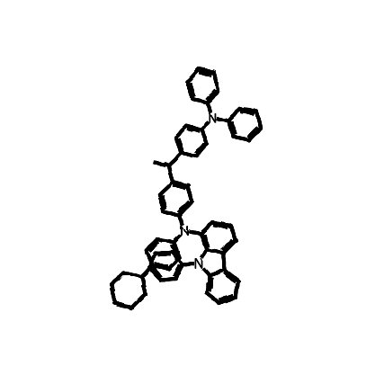 CC(c1ccc(N(c2ccccc2)c2ccccc2)cc1)c1ccc(N(c2ccc(C3CCCCC3)cc2)c2cccc3c4ccccc4n(-c4ccccc4)c23)cc1